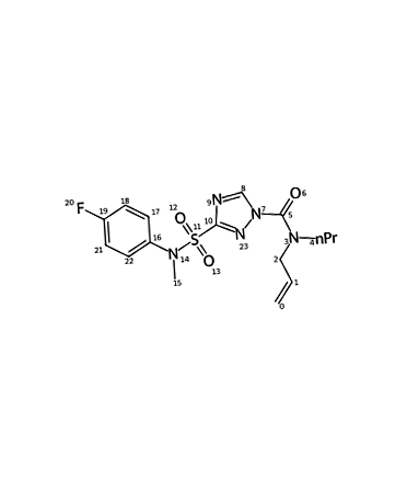 C=CCN(CCC)C(=O)n1cnc(S(=O)(=O)N(C)c2ccc(F)cc2)n1